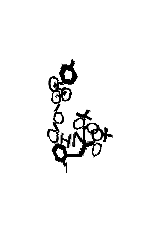 Cc1ccc(S(=O)(=O)OCCOCCOc2ccc(I)c(CC(NC(=O)OC(C)(C)C)C(=O)OC(C)(C)C)c2)cc1